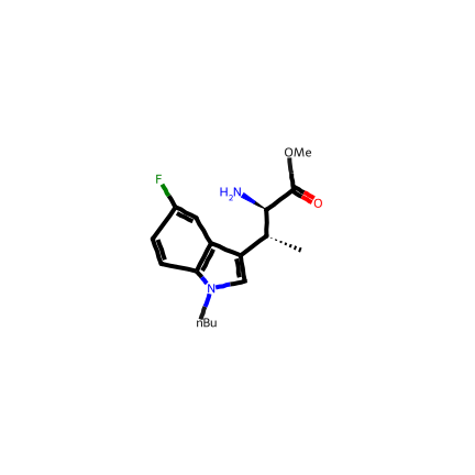 CCCCn1cc([C@@H](C)[C@@H](N)C(=O)OC)c2cc(F)ccc21